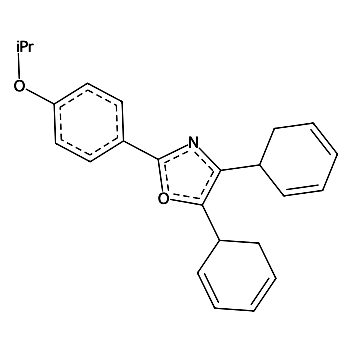 CC(C)Oc1ccc(-c2nc(C3C=CC=CC3)c(C3C=CC=CC3)o2)cc1